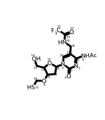 CC(=O)Nc1nc(=O)n(C2CC(OCS)C(CO)O2)cc1CNC(=O)C(F)(F)F